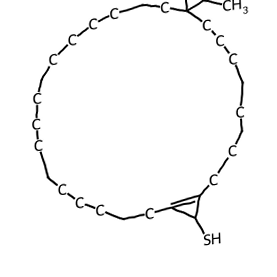 CCC1(C)CCCCCCCCCCCCCCCCC2=C(CCCCCCCC1)C2S